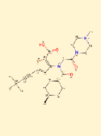 CN1CCN(C(=O)CN(c2cc(C#CC(C)(C)C)sc2C(=O)O)C(=O)[C@H]2CC[C@H](C)CC2)CC1